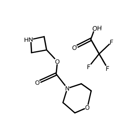 O=C(O)C(F)(F)F.O=C(OC1CNC1)N1CCOCC1